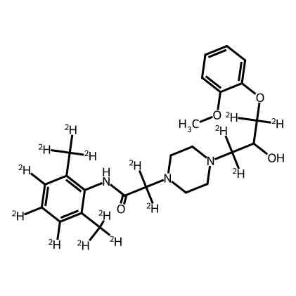 [2H]c1c([2H])c(C([2H])([2H])[2H])c(NC(=O)C([2H])([2H])N2CCN(C([2H])([2H])C(O)C([2H])([2H])Oc3ccccc3OC)CC2)c(C([2H])([2H])[2H])c1[2H]